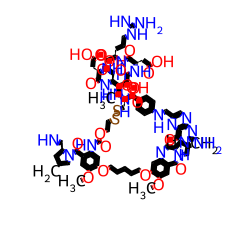 C=C1C[C@H]2C=Nc3cc(OCCCCCOc4cc(NC(=O)OCCSSC[C@H](NC(=O)[C@H](CC(=O)O)NC(=O)[C@H](CC(=O)O)NC(=O)[C@H](CCCNC(=N)N)NC(=O)[C@H](CC(=O)O)NC(=O)CC[C@@H](C)NC(=O)c5ccc(NCc6cnc7nc(N)[nH]c(=O)c7n6)cc5)C(=O)O)c(C(=O)N5CC(=C)C[C@H]5C=N)cc4OC)c(OC)cc3C(=O)N2C1